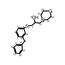 OC(CSc1cccc(Cc2ccccc2)c1)CN1CCOCC1